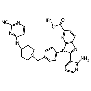 CC(C)OC(=O)c1ccc2nc(-c3cccnc3N)n(-c3ccc(CN4CCC(Nc5ccnc(C#N)n5)CC4)cc3)c2n1